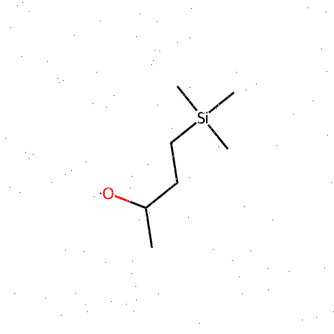 CC([O])CC[Si](C)(C)C